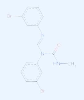 CNC(=O)N(C=Nc1cccc(Br)c1)c1cccc(Br)c1